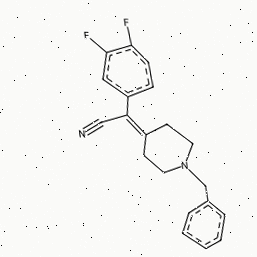 N#CC(=C1CCN(Cc2ccccc2)CC1)c1ccc(F)c(F)c1